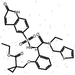 CCOC(=O)C1(COc2ccccc2[C@@H](NS(=O)(=O)c2ccc3[nH]c(=O)ccc3c2)C(=O)N(CC)Cc2cccs2)CC1